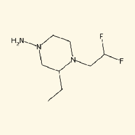 CCC1CN(N)CCN1CC(F)F